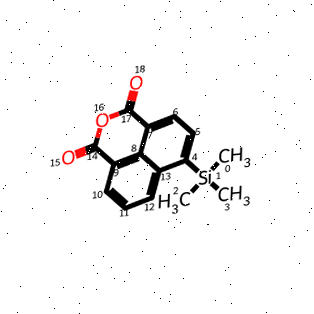 C[Si](C)(C)c1ccc2c3c(cccc13)C(=O)OC2=O